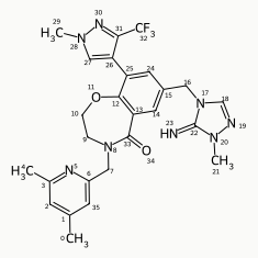 Cc1cc(C)nc(CN2CCOc3c(cc(Cn4cnn(C)c4=N)cc3-c3cn(C)nc3C(F)(F)F)C2=O)c1